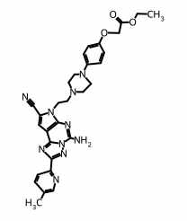 CCOC(=O)COc1ccc(N2CCN(CCn3c(C#N)cc4c3nc(N)n3nc(-c5ccc(C)cn5)nc43)CC2)cc1